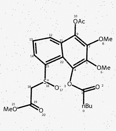 CCCCC(=O)Oc1c(OC)c(OC)c(OC(C)=O)c2cccc([S+]([O-])CC(=O)OC)c12